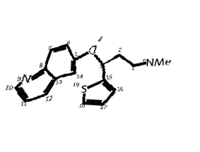 CNCC[C@H](Oc1ccc2ncccc2c1)c1cccs1